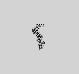 COc1ccc2c(N3CCN(C(=O)C4CCCN(C(=O)c5ccncc5)C4)CC3)ccnc2c1